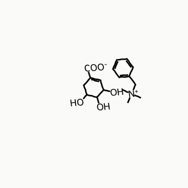 C[N+](C)(C)Cc1ccccc1.O=C([O-])C1=CC(O)C(O)C(O)C1